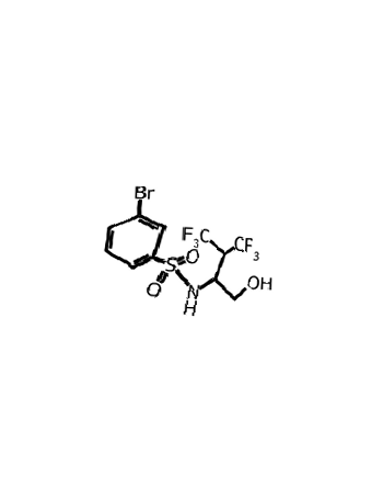 O=S(=O)(NC(CO)C(C(F)(F)F)C(F)(F)F)c1cccc(Br)c1